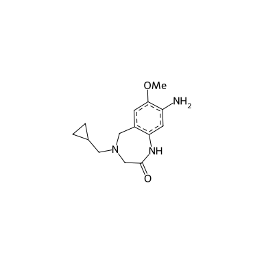 COc1cc2c(cc1N)NC(=O)CN(CC1CC1)C2